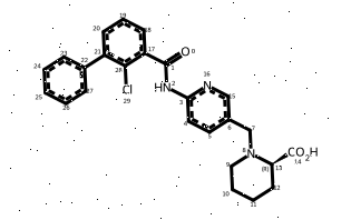 O=C(Nc1ccc(CN2CCCC[C@@H]2C(=O)O)cn1)c1cccc(-c2ccccc2)c1Cl